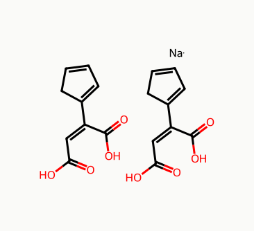 O=C(O)C=C(C(=O)O)C1=CC=CC1.O=C(O)C=C(C(=O)O)C1=CC=CC1.[Na]